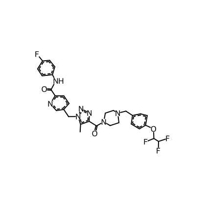 Cc1c(C(=O)N2CCN(Cc3ccc(OC(F)C(F)F)cc3)CC2)nnn1Cc1ccc(C(=O)Nc2ccc(F)cc2)nc1